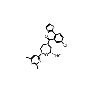 Cc1cc(N2CCN(C(=O)c3cc(Cl)ccc3-c3nccs3)C[C@H](C)O2)nc(C)n1.Cl